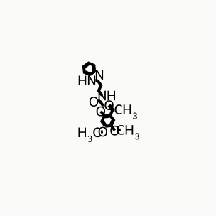 COc1cc(OCC(=O)NCCc2nc3ccccc3[nH]2)c(C(C)=O)cc1OC